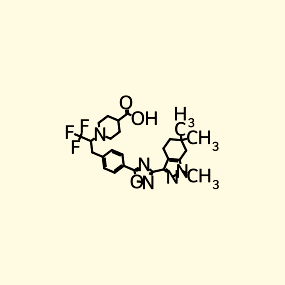 Cn1nc(-c2noc(-c3ccc(CC(N4CCC(C(=O)O)CC4)C(F)(F)F)cc3)n2)c2c1CC(C)(C)CC2